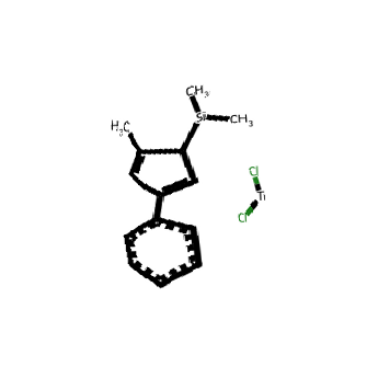 CC1=CC(c2ccccc2)=CC1[Si](C)C.[Cl][Ti][Cl]